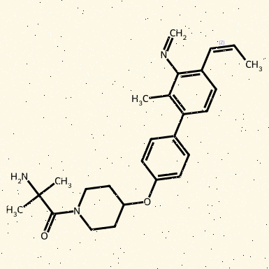 C=Nc1c(/C=C\C)ccc(-c2ccc(OC3CCN(C(=O)C(C)(C)N)CC3)cc2)c1C